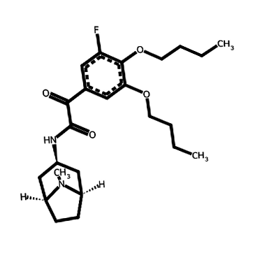 CCCCOc1cc(C(=O)C(=O)N[C@H]2C[C@H]3CC[C@@H](C2)N3C)cc(F)c1OCCCC